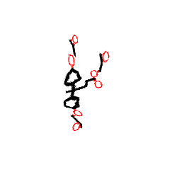 CC(CCC(=O)OCC1CO1)(c1ccc(OCC2CO2)cc1)c1ccc(OCC2CO2)cc1